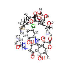 CO[C@H]1/C=C/O[C@@]2(C)Oc3c(C)c(O)c4c(c3C2=O)/C(=N/c2cc(Cl)c(Br)cc2O)C=C(NC(=O)/C(C)=C\C=C\[C@H](C)[C@@H]2O[C@H]([C@H](O)[C@@H]2C)[C@H](OC(C)=O)C1)C4=O